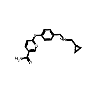 NC(=O)c1ccc(Sc2ccc(CNCC3CC3)cc2)nc1